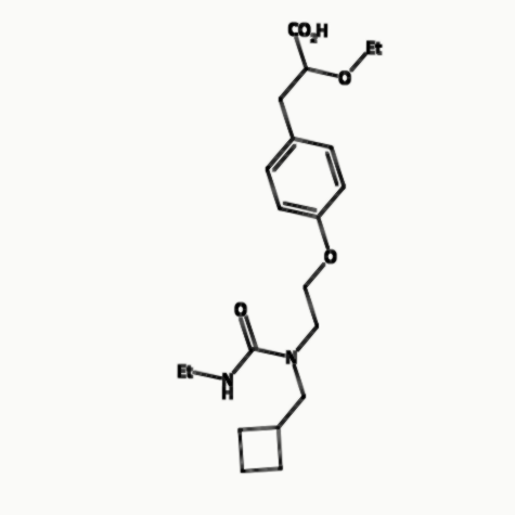 CCNC(=O)N(CCOc1ccc(CC(OCC)C(=O)O)cc1)CC1CCC1